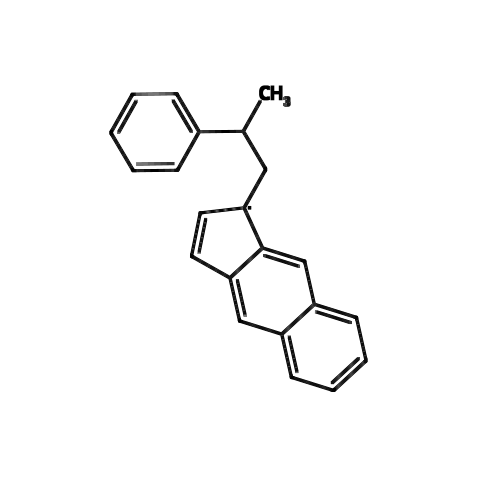 CC(C[C]1C=Cc2cc3ccccc3cc21)c1ccccc1